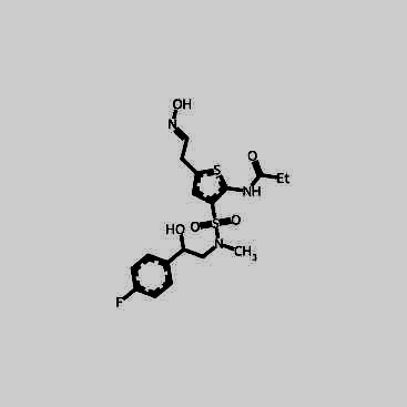 CCC(=O)Nc1sc(CC=NO)cc1S(=O)(=O)N(C)CC(O)c1ccc(F)cc1